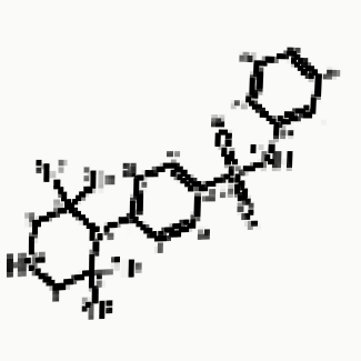 [2H]C1([2H])CNCC([2H])([2H])N1c1ccc(S(=O)(=O)Nc2ccccc2)cc1